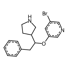 Brc1cncc(OC(Cc2ccccc2)C2CCNC2)c1